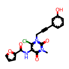 Cn1c(=O)c(NC(=O)c2ccco2)c(Cl)n(CC#Cc2cccc(O)c2)c1=O